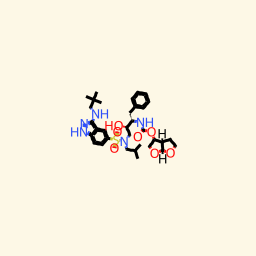 CC(C)CN(C[C@@H](O)[C@H](Cc1ccccc1)NC(=O)OC1CO[C@H]2OCC[C@@H]12)S(=O)(=O)c1ccc2[nH]nc(NCC(C)(C)C)c2c1